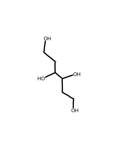 OC[CH]C(O)C(O)CCO